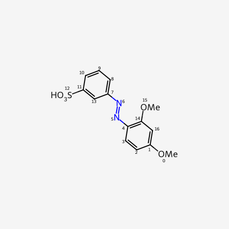 COc1ccc(N=Nc2cccc(S(=O)(=O)O)c2)c(OC)c1